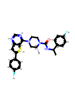 CC(NC(=O)N1CCN(c2ncnc3cc(-c4ccc(F)cc4)sc23)C[C@H]1C)c1ccc(F)cc1